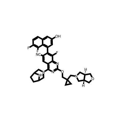 N#Cc1cc2c(N3CC4CCC(C3)N4)nc(OCC3(CN4C[C@H]5COC[C@@H]5C4)CC3)nc2c(F)c1-c1cc(O)cc2ccc(F)c(F)c12